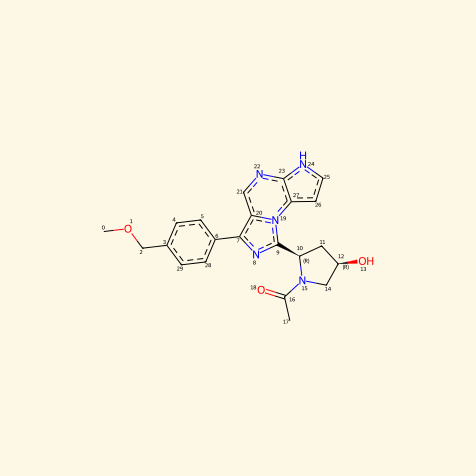 COCc1ccc(-c2nc([C@H]3C[C@@H](O)CN3C(C)=O)n3c2cnc2[nH]ccc23)cc1